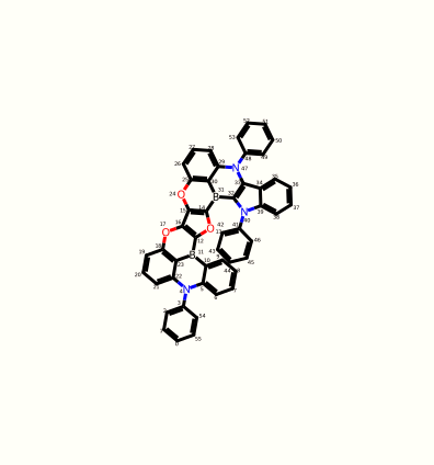 c1ccc(N2c3ccccc3B3c4oc5c(c4Oc4cccc2c43)Oc2cccc3c2B5c2c(c4ccccc4n2-c2ccccc2)N3c2ccccc2)cc1